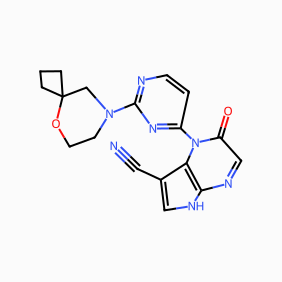 N#Cc1c[nH]c2ncc(=O)n(-c3ccnc(N4CCOC5(CCC5)C4)n3)c12